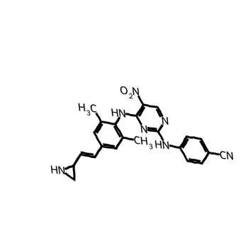 Cc1cc(/C=C/C2CN2)cc(C)c1Nc1nc(Nc2ccc(C#N)cc2)ncc1[N+](=O)[O-]